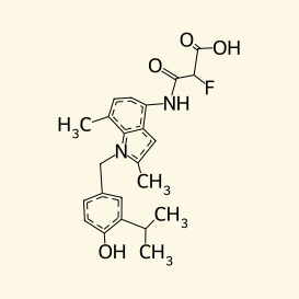 Cc1ccc(NC(=O)C(F)C(=O)O)c2cc(C)n(Cc3ccc(O)c(C(C)C)c3)c12